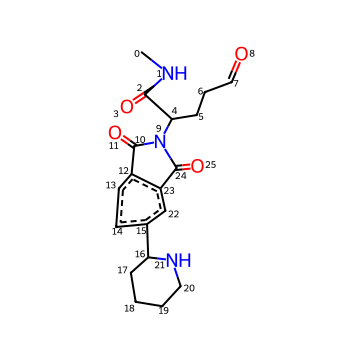 CNC(=O)C(CCC=O)N1C(=O)c2ccc(C3CCCCN3)cc2C1=O